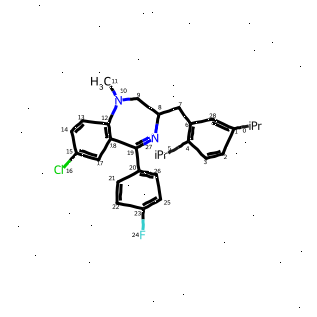 CC(C)c1ccc(C(C)C)c(CC2CN(C)c3ccc(Cl)cc3C(c3ccc(F)cc3)=N2)c1